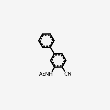 CC(=O)Nc1cc(-c2ccccc2)ccc1C#N